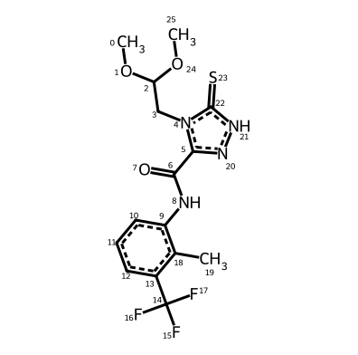 COC(Cn1c(C(=O)Nc2cccc(C(F)(F)F)c2C)n[nH]c1=S)OC